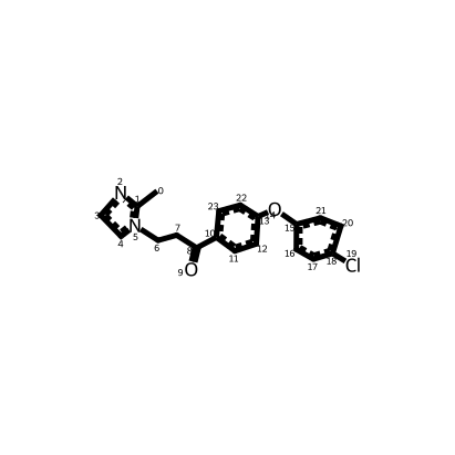 Cc1nccn1CCC(=O)c1ccc(Oc2ccc(Cl)cc2)cc1